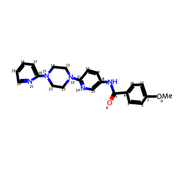 COc1ccc(C(=O)Nc2ccc(N3CCN(c4ccccn4)CC3)nc2)cc1